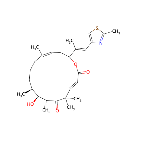 C/C1=C/CC(/C(C)=C/c2csc(C)n2)OC(=O)/C=C/C(C)(C)C(=O)[C@H](C)[C@@H](O)[C@@H](C)CCC1